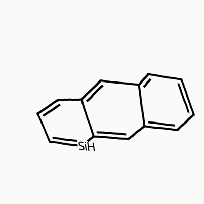 c1ccc2cc3[siH]cccc3cc2c1